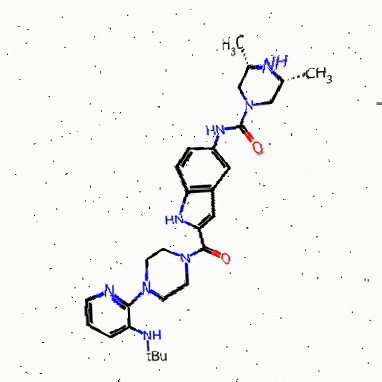 C[C@@H]1CN(C(=O)Nc2ccc3[nH]c(C(=O)N4CCN(c5ncccc5NC(C)(C)C)CC4)cc3c2)C[C@H](C)N1